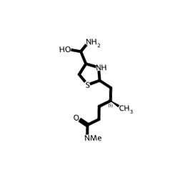 CNC(=O)CC[C@H](C)CC1NC(C(N)O)CS1